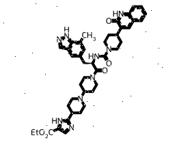 CCOC(=O)c1cnc(C2CCN(C3CCN(C(=O)[C@@H](Cc4cc(C)c5[nH]ncc5c4)NC(=O)N4CCC(c5cc6ccccc6[nH]c5=O)CC4)CC3)CC2)[nH]1